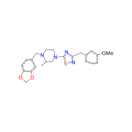 COc1cccc(Cc2nsc(N3CCN(Cc4ccc5c(c4)OCO5)C(C)C3)n2)c1